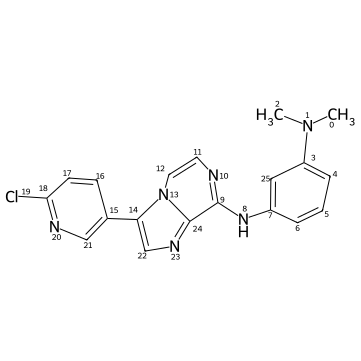 CN(C)c1cccc(Nc2nccn3c(-c4ccc(Cl)nc4)cnc23)c1